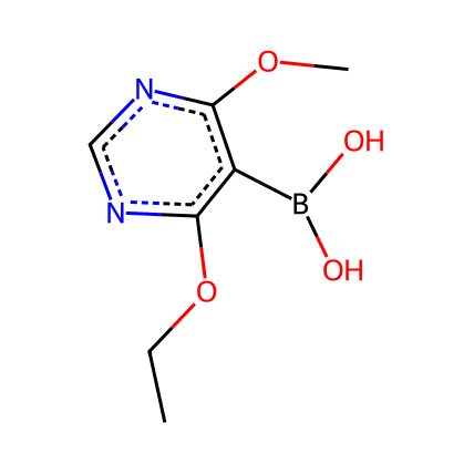 CCOc1ncnc(OC)c1B(O)O